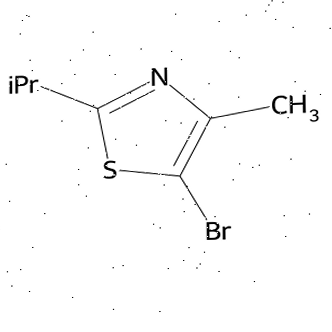 Cc1nc(C(C)C)sc1Br